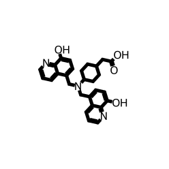 O=C(O)CC1CCC(N(Cc2ccc(O)c3ncccc23)Cc2ccc(O)c3ncccc23)CC1